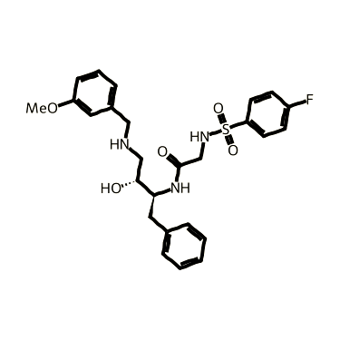 COc1cccc(CNC[C@@H](O)[C@H](Cc2ccccc2)NC(=O)CNS(=O)(=O)c2ccc(F)cc2)c1